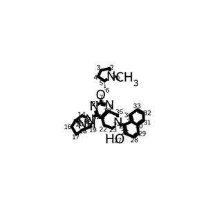 CN1CCC[C@H]1COc1nc2c(c(N3CC4CCC(C3)N4)n1)CCN(c1c(O)ccc3ccccc13)C2